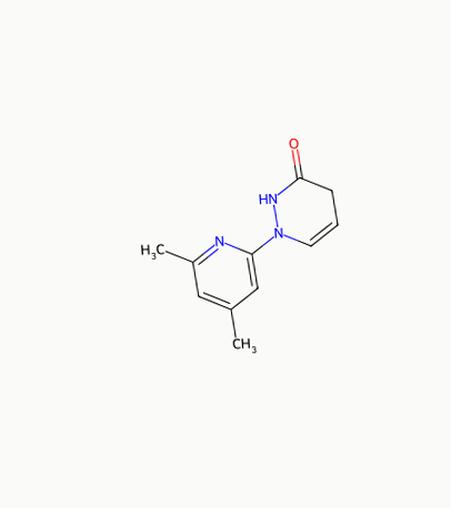 Cc1cc(C)nc(N2C=CCC(=O)N2)c1